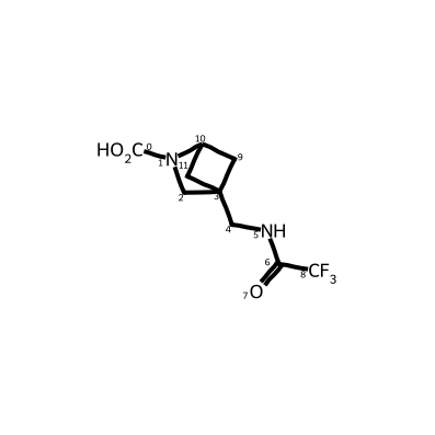 O=C(O)N1CC2(CNC(=O)C(F)(F)F)CC1C2